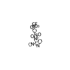 CC1(C)C(=O)N(c2ccc(S(=O)(=O)C(F)(F)F)cc2)C(=O)N1Cc1c(N2CCCCC2)cnc2ccccc12